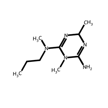 CCCN(C)C1=NC(C)N=C(N)N1C